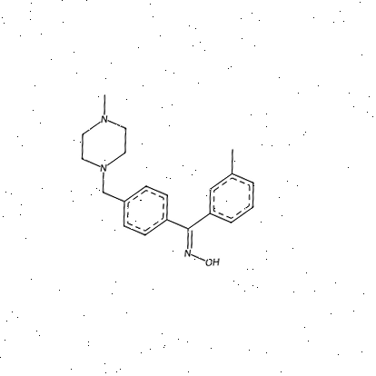 Cc1cccc(/C(=N\O)c2ccc(CN3CCN(C)CC3)cc2)c1